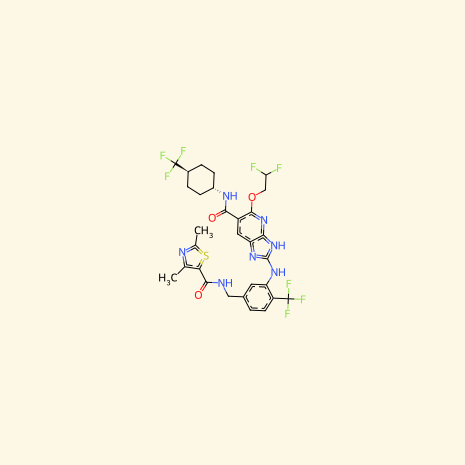 Cc1nc(C)c(C(=O)NCc2ccc(C(F)(F)F)c(Nc3nc4cc(C(=O)N[C@H]5CC[C@H](C(F)(F)F)CC5)c(OCC(F)F)nc4[nH]3)c2)s1